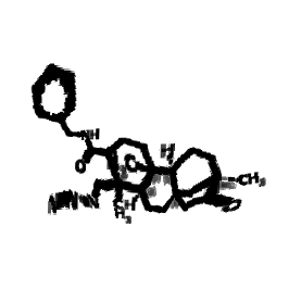 CC1(CN=[N+]=[N-])C(C(=O)NCc2ccccc2)CC[C@@]2(C)[C@H]1CC[C@@]13CC(=O)[C@](C)(CC[C@@H]12)C3